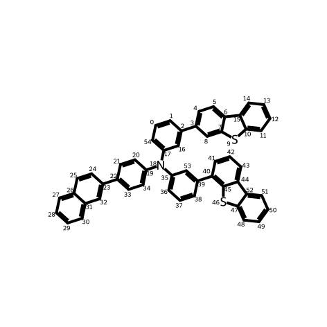 c1cc(-c2ccc3c(c2)sc2ccccc23)cc(N(c2ccc(-c3ccc4ccccc4c3)cc2)c2cccc(-c3cccc4c3sc3ccccc34)c2)c1